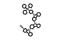 N#Cc1ccc2c3ccccc3n(-c3ccc4c(c3)c3ccccc3n4-c3ccc4c(c3)c3ccccc3n4-c3ccc([Si](c4ccccc4)(c4ccccc4)c4ccccc4)cc3)c2c1